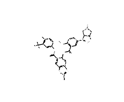 COc1ccc(C2=NOC3CC(O)CC23)cc1C(=O)Nc1cc2nc(C)sc2cc1C(=O)Nc1ccc(F)c(C(F)(F)F)c1